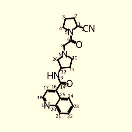 N#CC1CCCN1C(=O)CN1CCC(NC(=O)c2ccnc3ccccc23)C1